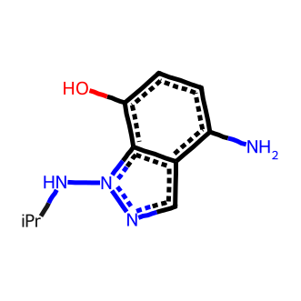 CC(C)Nn1ncc2c(N)ccc(O)c21